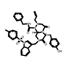 C=CCN1CC(=O)N2[C@@H](Cc3ccc(O)cc3)C(=O)N(CC3=CN(S(=O)(=O)c4ccc(C)cc4)C4C=CC=CC34)C[C@@H]2N1C(=O)NCc1ccccc1